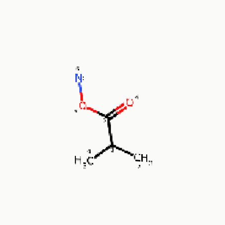 CC(C)C(=O)O[N]